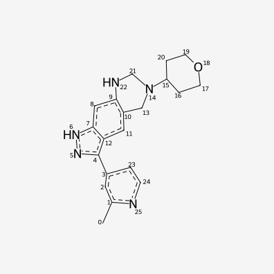 Cc1cc(-c2n[nH]c3cc4c(cc23)CN(C2CCOCC2)CN4)ccn1